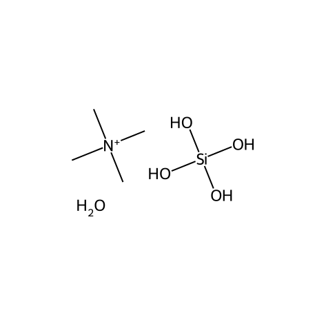 C[N+](C)(C)C.O.O[Si](O)(O)O